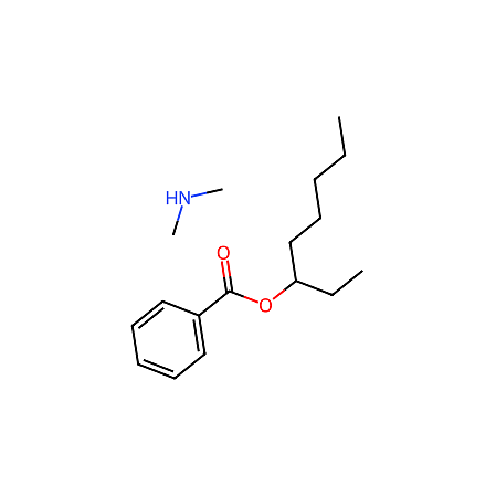 CCCCCC(CC)OC(=O)c1ccccc1.CNC